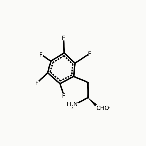 N[C@H]([C]=O)Cc1c(F)c(F)c(F)c(F)c1F